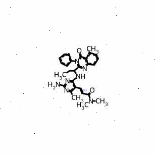 CCC(Nc1nc(N)nc(C)c1/C=C/C(=O)N(C)C)c1nc2cccc(C)c2c(=O)n1-c1ccccc1